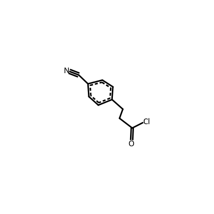 N#Cc1ccc(CCC(=O)Cl)cc1